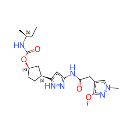 CC[C@H](C)NC(=O)O[C@@H]1CC[C@H](c2cc(NC(=O)Cc3cn(C)nc3OC)n[nH]2)C1